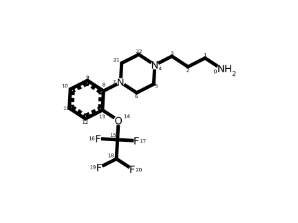 NCCCN1CCN(c2ccccc2OC(F)(F)C(F)F)CC1